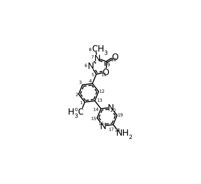 Cc1ccc(-c2nn(C)c(=O)o2)cc1-c1cnc(N)cn1